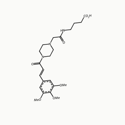 COc1cc(C=CC(=O)N2CCN(CC(=O)NCCCC(=O)O)CC2)cc(OC)c1OC